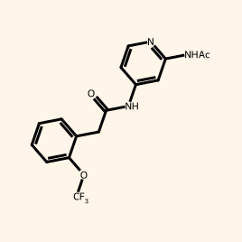 CC(=O)Nc1cc(NC(=O)Cc2ccccc2OC(F)(F)F)ccn1